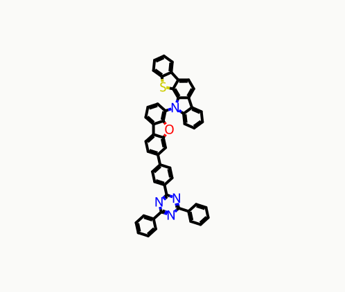 c1ccc(-c2nc(-c3ccccc3)nc(-c3ccc(-c4ccc5c(c4)oc4c(-n6c7ccccc7c7ccc8c9ccccc9sc8c76)cccc45)cc3)n2)cc1